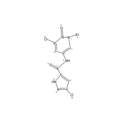 CCn1cc(NC(=O)c2cc(Cl)n[nH]2)cc(Cl)c1=O